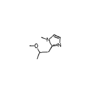 COC(C)Cc1nccn1C